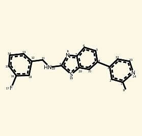 Cc1cc(-c2ccc3nc(NCc4cccc(F)c4)sc3c2)ccn1